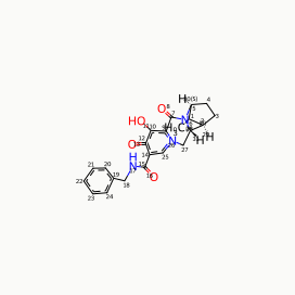 CC1[C@H]2CC[C@@H]1N1C(=O)c3c(O)c(=O)c(C(=O)NCc4ccccc4)cn3C[C@@H]21